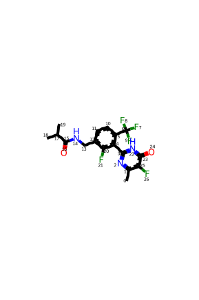 Cc1nc(-c2c(C(F)(F)F)ccc(CNC(=O)C(C)C)c2F)[nH]c(=O)c1F